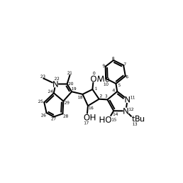 COC1C(c2c(-c3ccccc3)nn(C(C)(C)C)c2O)C(O)C1c1c(C)n(C)c2ccccc12